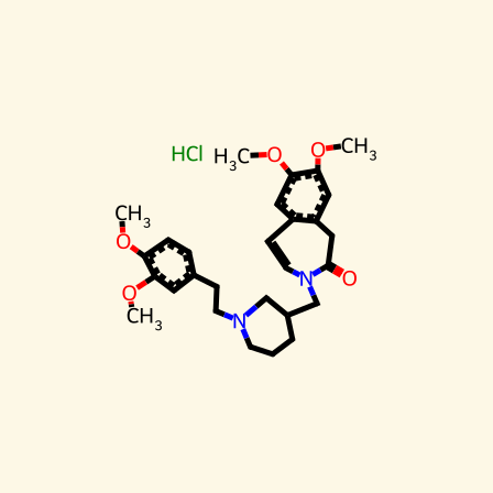 COc1ccc(CCN2CCCC(CN3C=Cc4cc(OC)c(OC)cc4CC3=O)C2)cc1OC.Cl